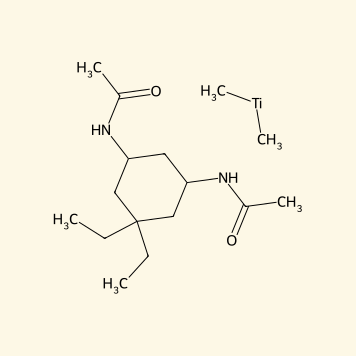 CCC1(CC)CC(NC(C)=O)CC(NC(C)=O)C1.[CH3][Ti][CH3]